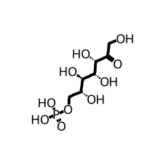 O=C(CO)[C@@H](O)[C@H](O)[C@H](O)[C@H](O)COP(=O)(O)O